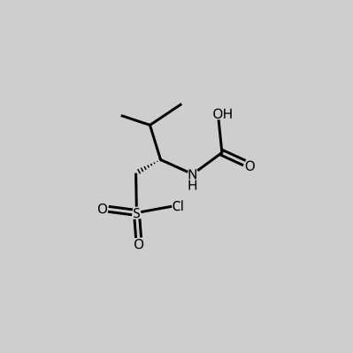 CC(C)[C@@H](CS(=O)(=O)Cl)NC(=O)O